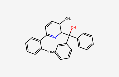 COc1ccccc1C1=NC(C(O)(c2ccccc2)c2ccccc2)C(C)C=C1